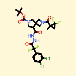 CC(C)(C)OC(=O)N1CC(C(=O)NNC(=O)C(F)(F)c2ccc(Cl)c(Cl)c2)C2(C1)CN(C(=O)C1(C)CC1(F)F)C2